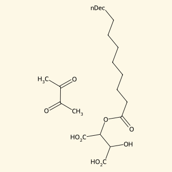 CC(=O)C(C)=O.CCCCCCCCCCCCCCCCCC(=O)OC(C(=O)O)C(O)C(=O)O